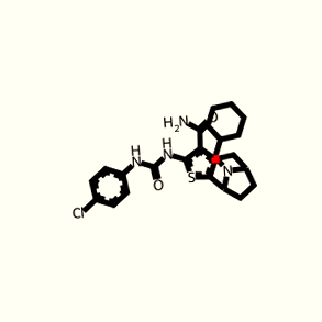 NC(=O)c1c(NC(=O)Nc2ccc(Cl)cc2)sc2c1CC1CCC2N1CC1CCCCC1